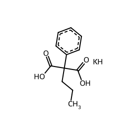 CCCC(C(=O)O)(C(=O)O)c1ccccc1.[KH]